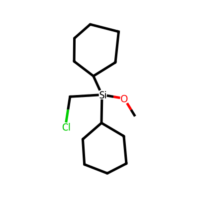 CO[Si](CCl)(C1CCCCC1)C1CCCCC1